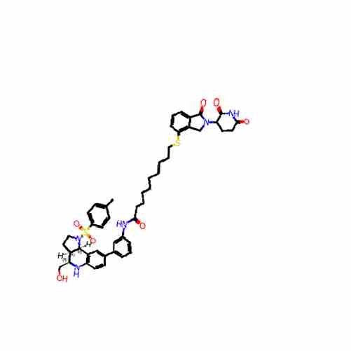 Cc1ccc(S(=O)(=O)N2CC[C@@H]3[C@H](CO)Nc4ccc(-c5cccc(NC(=O)CCCCCCCCCSc6cccc7c6CN(C6CCC(=O)NC6=O)C7=O)c5)cc4[C@@H]32)cc1